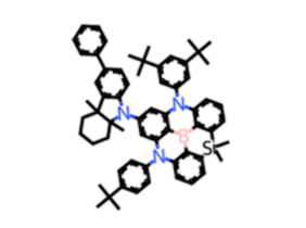 CC(C)(C)c1ccc(N2c3cc(N4c5ccc(-c6ccccc6)cc5C5(C)CCCCC45C)cc4c3B3c5c2cccc5[Si](C)(C)c2cccc(c23)N4c2cc(C(C)(C)C)cc(C(C)(C)C)c2)cc1